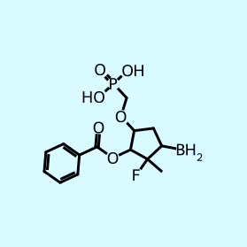 BC1CC(OCP(=O)(O)O)C(OC(=O)c2ccccc2)C1(C)F